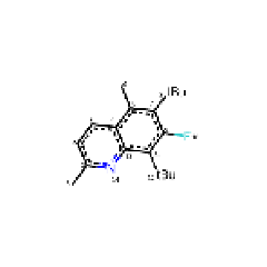 Cc1ccc2c(C)c(C(C)(C)C)c(F)c(C(C)(C)C)c2n1